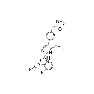 Cc1nc(NC[C@]2(c3ncccc3F)C[C@H](F)C2)ncc1-c1ccc(CC(N)=O)cc1